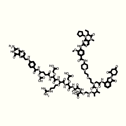 CCC1C(=O)N(C)c2cnc(Nc3ccc(C(=O)NC4CCN(CCOCCN(CC(=O)Nc5cccc6c5CN(C5CCC(=O)CC5=O)C6=O)C(=O)OC(C)C(C)SNCOC(NC(=O)[C@](C)(O)NC(=O)C(NC(=O)C(NC(=O)C(NC(=O)CCC(NC(=O)c5ccc(NCc6cnc7nc(N)[nH]c(=O)c7n6)cc5)OC(=O)O)OCC(=O)O)OCCCNC(=N)N)OCC(=O)O)C(=O)O)CC4)cc3OC)nc2N1C1CCCC1